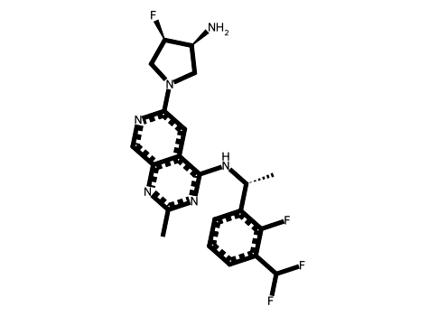 Cc1nc(N[C@H](C)c2cccc(C(F)F)c2F)c2cc(N3C[C@@H](F)[C@@H](N)C3)ncc2n1